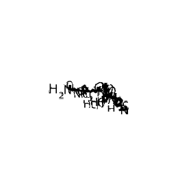 Cc1ncsc1-c1ccc([C@H](C)NC(=O)C2CC(O)CN2C(=O)[C@@H](NC(=O)CCCc2cccc(OC[C@@H](N)CCC(N)=O)c2Cl)C(C)(C)C)cc1.Cl